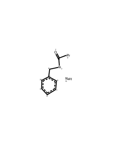 CC(C)C(=O)[N]Cc1ccccc1.[NaH]